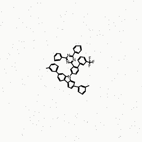 Cc1cccc(-c2ccc3c4ccc(-c5cccc(C)c5)cc4n(-c4ccc(-c5cccc(C(F)(F)F)c5)c(-c5nc(-c6ccccc6)nc(-c6ccccc6)n5)c4)c3c2)c1